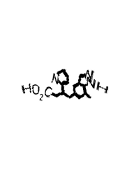 Cc1cc(CC(CC(=O)O)c2ccccn2)cc2cn[nH]c12